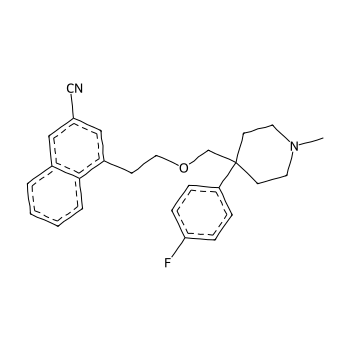 CN1CCC(COCCc2cc(C#N)cc3ccccc23)(c2ccc(F)cc2)CC1